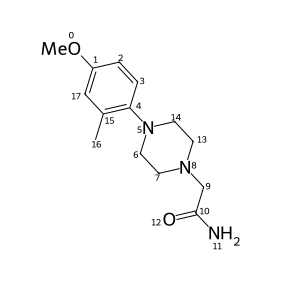 COc1ccc(N2CCN(CC(N)=O)CC2)c(C)c1